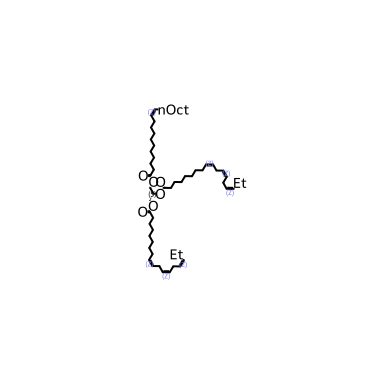 CC/C=C\C/C=C\C/C=C\CCCCCCCC(=O)OC[C@H](COC(=O)CCCCCCCCC/C=C\CCCCCCCC)OC(=O)CCCCCCC/C=C\C/C=C\C/C=C\CC